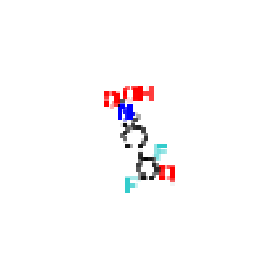 COc1cc(F)cc(C2CCC3(CC2)CN(C(=O)O)C3)c1F